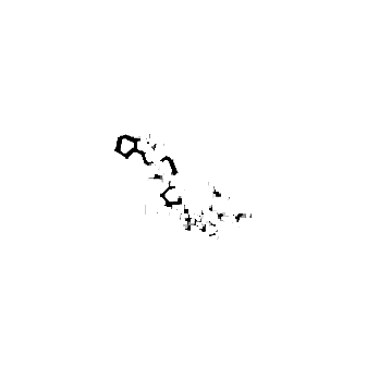 CC(C)(C)C(=O)OCOP(=O)(OCOC(=O)C(C)(C)C)OP(=O)(O)OC[C@H]1O[C@@H](n2ccc(=O)n(Cc3noc4ccccc34)c2=O)CC1(C)C